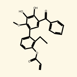 C=CC(=O)Oc1cccc(-c2cc(C(=O)c3ccccc3)c(O)c(O)c2OC)c1CC